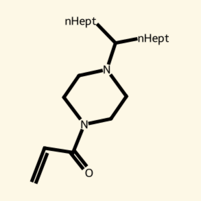 C=CC(=O)N1CCN(C(CCCCCCC)CCCCCCC)CC1